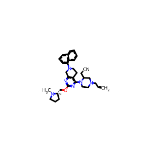 C=CCN1CCN(c2nc(OC[C@@H]3CCCN3C)nc3c2CCN(c2cccc4ccccc24)C3)C(CC#N)C1